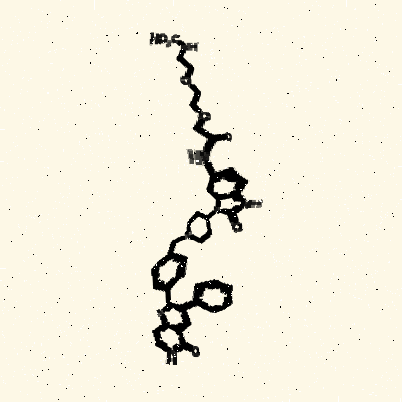 O=C(O)NCCOCCOCC(=O)Nc1ccc2[nH]c(=O)n(C3CCN(Cc4ccc(-c5nc6cc[nH]c(=O)c6cc5-c5ccccc5)cc4)CC3)c2c1